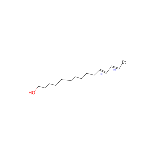 CC/C=C/C=C/CCCCCCCCCCO